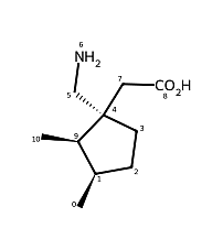 C[C@@H]1CC[C@](CN)(CC(=O)O)[C@@H]1C